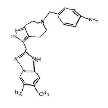 Cc1cc2nc(-c3[nH]nc4c3CCN(Cc3ccc(N)cc3)C4)[nH]c2cc1C